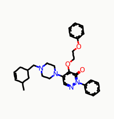 CC1C=CCC(CN2CCN(c3cnn(-c4ccccc4)c(=O)c3OCCOc3ccccc3)CC2)C1